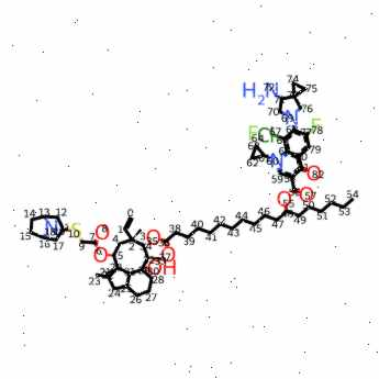 C=C[C@@]1(C)C[C@H](OC(=O)CSC2CC3CCC(C2)N3C)[C@@]2(C)C(C)CC3CCCC(O)(C32)[C@H](C)[C@H]1OC(=O)CCCCCCCCCCC(CCCCCC)OC(=O)c1cn(C2C[C@@H]2F)c2c(Cl)c(N3C[C@@H](N)C4(CC4)C3)c(F)cc2c1=O